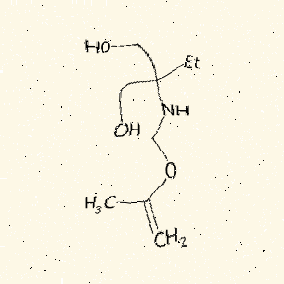 C=C(C)OCNC(CC)(CO)CO